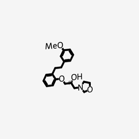 COc1cccc(CCc2ccccc2OC[C@@H](O)CN2CCOC2)c1